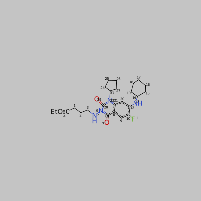 CCOC(=O)CCCNn1c(=O)c2cc(F)c(NC3CCCCC3)cc2n(C2CCCC2)c1=O